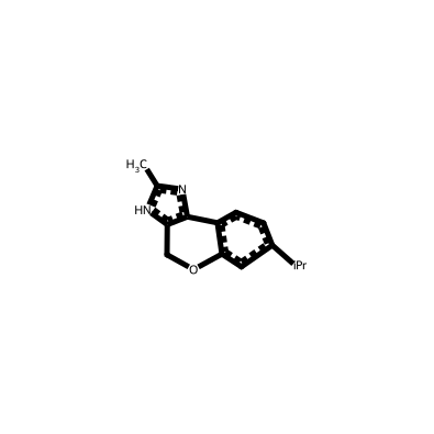 Cc1nc2c([nH]1)COc1cc(C(C)C)ccc1-2